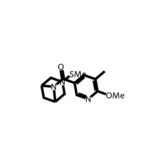 COc1ncc(C(=O)N2C3CC2CN(SC)C3)cc1C